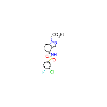 CCOC(=O)Cn1ncc2c1CCC[C@H]2NS(=O)(=O)c1ccc(F)c(Cl)c1